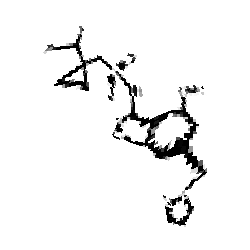 COc1cc(Cn2cccn2)cc2onc(NS(=O)(=O)CC3(C(F)F)CC3)c12